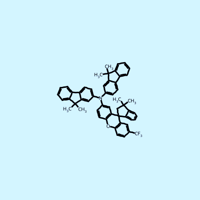 CC1(C)CC2(c3cc(N(c4ccc5c(c4)C(C)(C)c4ccccc4-5)c4ccc5c(c4)C(C)(C)c4ccccc4-5)ccc3Oc3ccc(C(F)(F)F)cc32)c2ccccc21